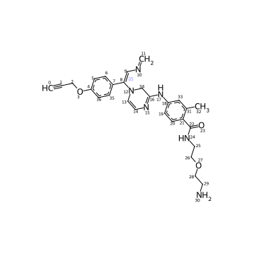 C#CCOc1ccc(/C(=C/N=C)N2C=CN=C(Nc3ccc(C(=O)NCCOCCN)c(C)c3)C2)cc1